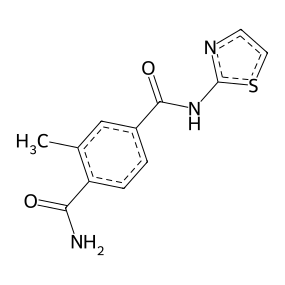 Cc1cc(C(=O)Nc2nccs2)ccc1C(N)=O